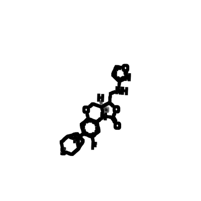 O=C1OC(CNc2ccon2)[C@@H]2COc3cc(N4C5CCC4CSC5)c(F)cc3N12